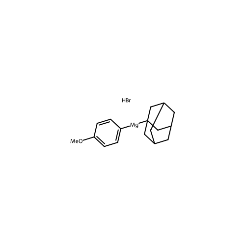 Br.COc1cc[c]([Mg][C]23CC4CC(CC(C4)C2)C3)cc1